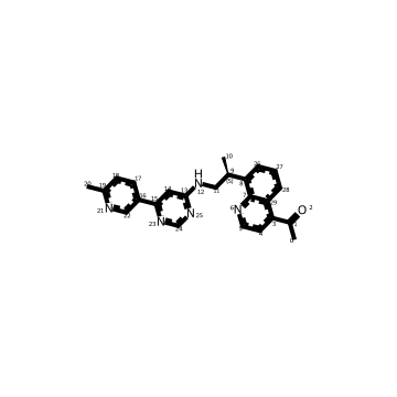 CC(=O)c1ccnc2c([C@H](C)CNc3cc(-c4ccc(C)nc4)ncn3)cccc12